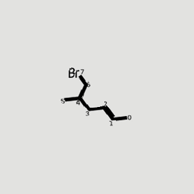 CC=CCC(C)CBr